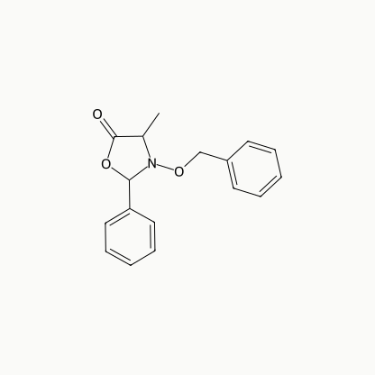 CC1C(=O)OC(c2ccccc2)N1OCc1ccccc1